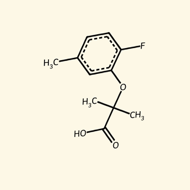 Cc1ccc(F)c(OC(C)(C)C(=O)O)c1